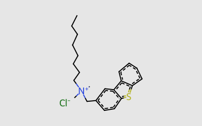 CCCCCCCC[N+](C)(C)Cc1ccc2sc3ccccc3c2c1.[Cl-]